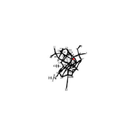 CCC1(C)C23CCCCCCCC(C)CC(N)C45CC6CC(C[C@H]7C8C9CC1%10C7C9C4C1C5(C)C4(C)C(C)(C)C14C8C2%10)C63